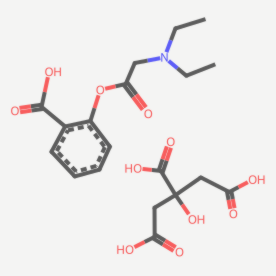 CCN(CC)CC(=O)Oc1ccccc1C(=O)O.O=C(O)CC(O)(CC(=O)O)C(=O)O